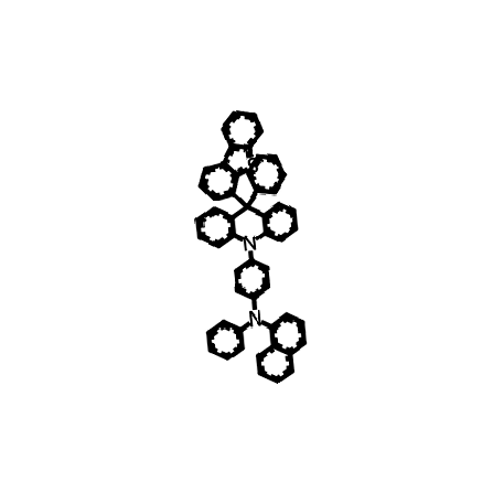 c1ccc(N(c2ccc(N3c4ccccc4C(c4ccccc4)(c4cccc5c4sc4ccccc45)c4ccccc43)cc2)c2cccc3ccccc23)cc1